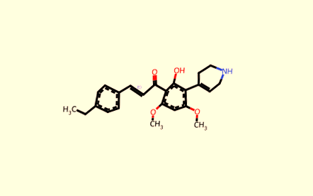 CCc1ccc(/C=C/C(=O)c2c(OC)cc(OC)c(C3=CCNCC3)c2O)cc1